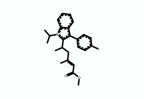 COC(=O)/C=C(\C)CC(C)c1c(-c2ccc(F)cc2)c2ccccc2n1C(C)C